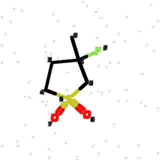 CC1(F)CCS(=O)(=O)C1